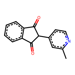 Cc1cc(C2C(=O)c3ccccc3C2=O)ccn1